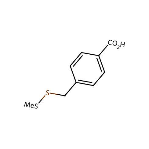 CSSCc1ccc(C(=O)O)cc1